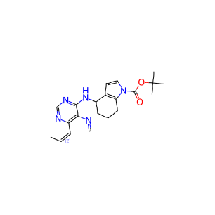 C=Nc1c(/C=C\C)ncnc1NC1CCCc2c1ccn2C(=O)OC(C)(C)C